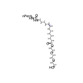 CCCCCNC(=O)NCCCC/C=C\CCCCCCC(=O)OCCOCCOCCO